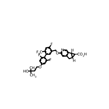 CC(C)(O)CCOc1cc(F)c(-c2cc(COc3cc4c(cn3)[C@H]3[C@@H](C4)[C@@H]3C(=O)O)c(F)cc2C(F)(F)F)c(F)c1